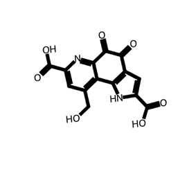 O=C(O)c1cc(CO)c2c(n1)C(=O)C(=O)c1cc(C(=O)O)[nH]c1-2